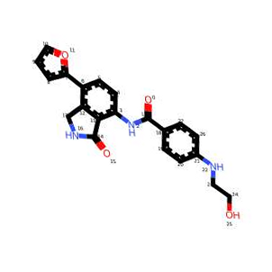 O=C(Nc1ccc(-c2ccco2)c2c1C(=O)NC2)c1ccc(NCCO)cc1